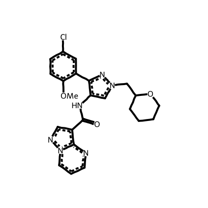 COc1ccc(Cl)cc1-c1nn(CC2CCCCO2)cc1NC(=O)c1cnn2cccnc12